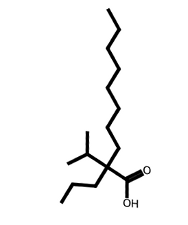 CCCCCCCCC(CCC)(C(=O)O)C(C)C